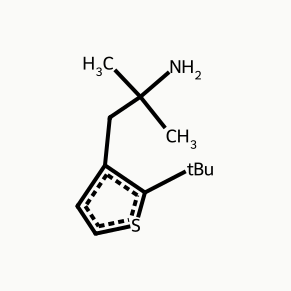 CC(C)(N)Cc1ccsc1C(C)(C)C